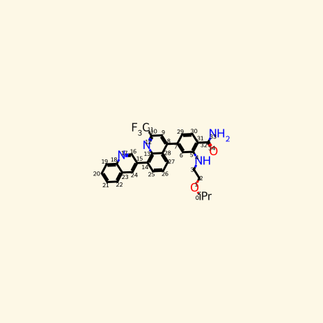 CC(C)OCCNc1cc(-c2cc(C(F)(F)F)nc3c(-c4cnc5ccccc5c4)cccc23)ccc1C(N)=O